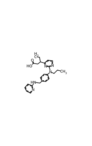 CCCN(c1ccc(CNc2ccccn2)cc1)c1nccc(C(CC)CC(=O)O)n1